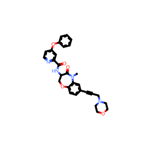 CN1C(=O)C(NC(=O)c2cc(Oc3ccccc3)ccn2)COc2ccc(C#CCN3CCOCC3)cc21